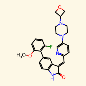 COc1cccc(F)c1-c1ccc2c(c1)/C(=C\c1ccc(N3CCN(C4COC4)CC3)cn1)C(=O)N2